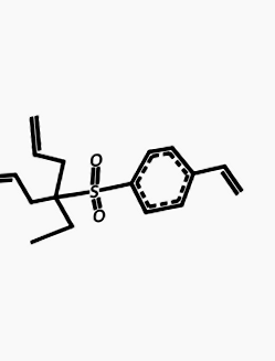 C=CCC(CC)(CC=C)S(=O)(=O)c1ccc(C=C)cc1